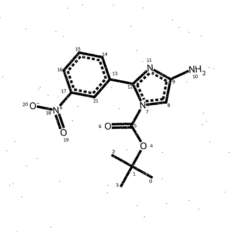 CC(C)(C)OC(=O)n1cc(N)nc1-c1cccc([N+](=O)[O-])c1